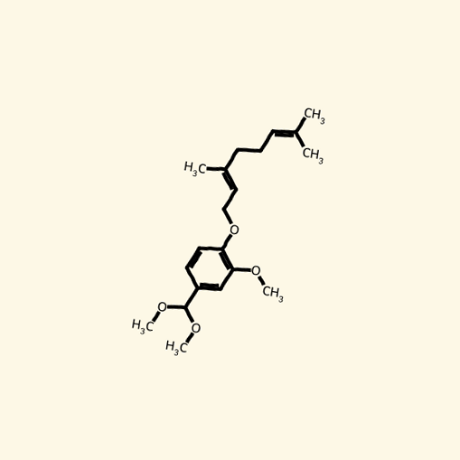 COc1cc(C(OC)OC)ccc1OC/C=C(\C)CCC=C(C)C